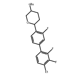 CCCCC1CCC(c2ccc(-c3ccc(CC)c(F)c3F)cc2F)OC1